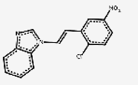 O=[N+]([O-])c1ccc(Cl)c(/C=C/n2cnc3ccccc32)c1